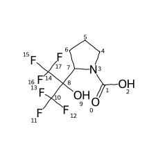 O=C(O)N1CCCC1C(O)(C(F)(F)F)C(F)(F)F